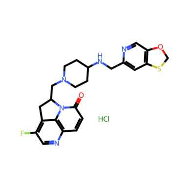 Cl.O=c1ccc2ncc(F)c3c2n1C(CN1CCC(NCc2cc4c(cn2)OCS4)CC1)C3